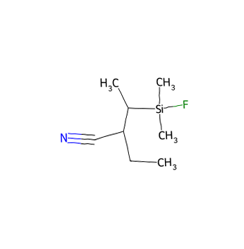 CCC(C#N)C(C)[Si](C)(C)F